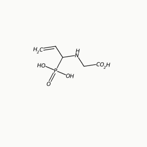 C=CC(NCC(=O)O)P(=O)(O)O